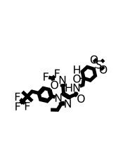 CCc1nc(C(=O)NC[C@]2(O)CC[C@@H](S(C)(=O)=O)CC2)c(C#N)n1-c1ccc(CC(C)(C)C(F)(F)F)cc1OC(F)F